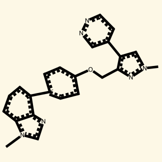 Cn1cc(-c2ccnnc2)c(COc2ccc(-c3cccc4c3ncn4C)cc2)n1